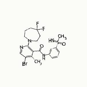 Cc1c(Br)cnc(N2CCCC(F)(F)CC2)c1C(=O)Nc1cccc(S(C)(=N)=O)c1